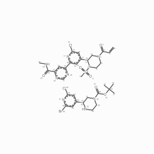 C=CC(=O)N1CCN(S(C)(=O)=O)[C@@H](c2cc(Cl)nc(-c3cc(C(=O)NC)ncn3)c2)C1.CC(C)(C)OC(=O)N1CCN[C@@H](c2cc(Cl)nc(Br)c2)C1